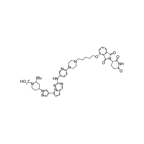 CC(C)(C)C1CC(n2cc(-c3ccc4cnc(Nc5ccc(N6CCN(CCCCCOc7cccc8c7C(=O)N(C7CCC(=O)NC7=O)C8=O)CC6)nc5)nn34)cn2)CCN1C(=O)O